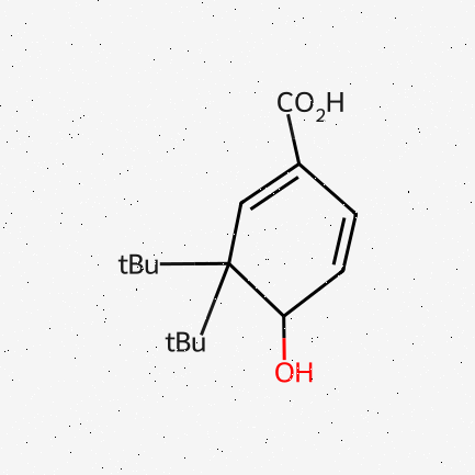 CC(C)(C)C1(C(C)(C)C)C=C(C(=O)O)C=CC1O